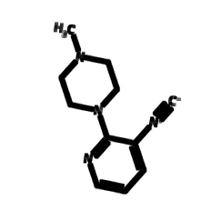 [C-]#[N+]c1cccnc1N1CCN(C)CC1